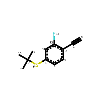 C#Cc1ccc(SC(C)(C)C)cc1F